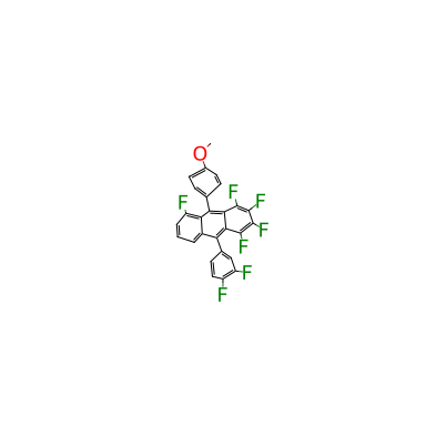 COc1ccc(-c2c3c(F)cccc3c(-c3ccc(F)c(F)c3)c3c(F)c(F)c(F)c(F)c23)cc1